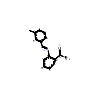 Cc1cccc(/C=N/c2ccccc2C(N)=O)c1